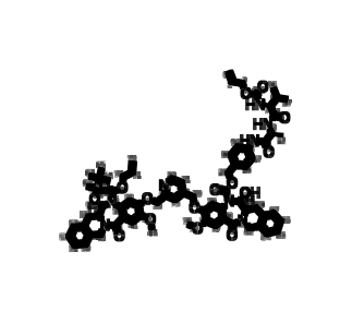 C=CCOC(=O)N[C@H](C(=O)N[C@@H](C)C(=O)Nc1ccc(COC(=O)N2c3cc(OCc4ccnc(COc5cc6c(cc5OC)C(=O)N5Cc7ccccc7C[C@H]5C(O[Si](C)(C)C(C)(C)C)N6C(=O)OCC=C)c4)c(OC)cc3C(=O)N3Cc4ccccc4C[C@H]3C2O)cc1)C(C)C